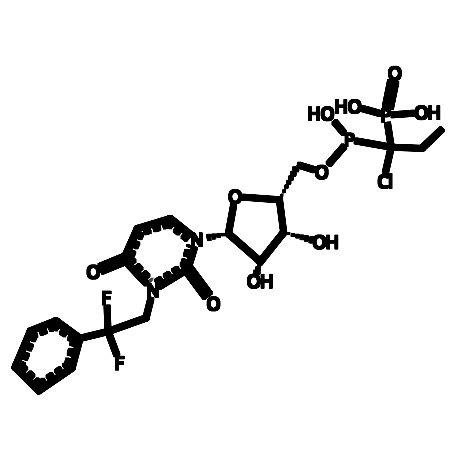 CCC(Cl)(P(O)OC[C@H]1O[C@@H](n2ccc(=O)n(CC(F)(F)c3ccccc3)c2=O)[C@@H](O)[C@H]1O)P(=O)(O)O